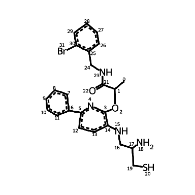 CC(Oc1nc(-c2ccccc2)ccc1NCC(N)CS)C(=O)NCc1ccccc1Br